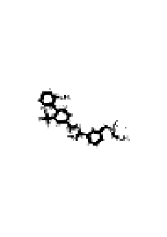 CCN(C)Cc1cccc(-c2noc(-c3ccc(-c4ccccc4C)c(C(F)(F)F)c3)n2)c1